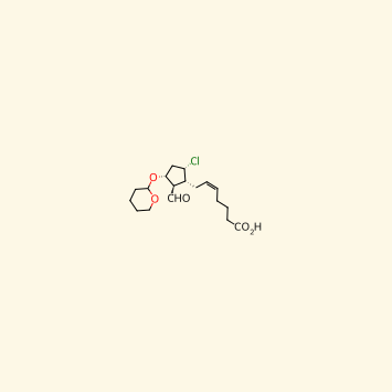 O=C[C@@H]1[C@@H](C/C=C\CCCC(=O)O)[C@@H](Cl)C[C@H]1OC1CCCCO1